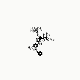 COC[C@@H](C)NC(=O)c1cn(COCC[Si](C)(C)C)c2ncc(N[C@@H]3CC[C@H](C)N(C(=O)OCc4ccccc4)C3)nc12